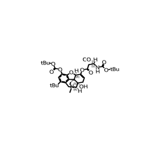 CN1CC[C@]23c4c5c(C(C)(C)C)cc(OC(=O)OC(C)(C)C)c4O[C@H]2C(OC(=O)C[C@H](NC(=O)OC(C)(C)C)C(=O)O)=CC[C@@]3(O)[C@H]1C5